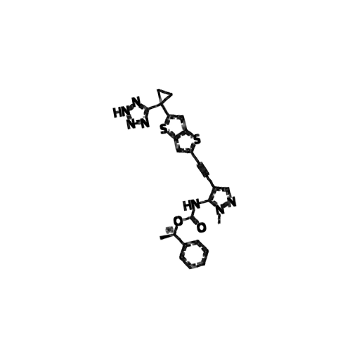 C[C@@H](OC(=O)Nc1c(C#Cc2cc3sc(C4(c5nn[nH]n5)CC4)cc3s2)cnn1C)c1ccccc1